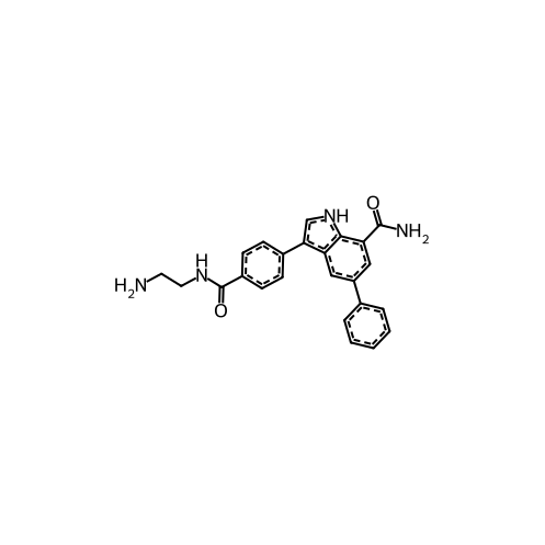 NCCNC(=O)c1ccc(-c2c[nH]c3c(C(N)=O)cc(-c4ccccc4)cc23)cc1